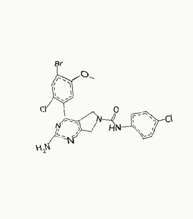 COc1cc(-c2nc(N)nc3c2CN(C(=O)Nc2ccc(Cl)cc2)C3)c(Cl)cc1Br